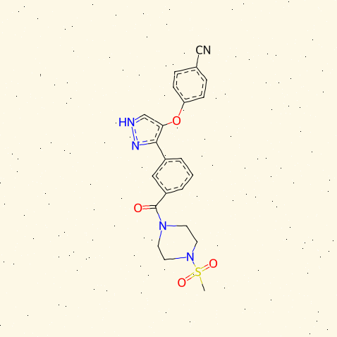 CS(=O)(=O)N1CCN(C(=O)c2cccc(-c3n[nH]cc3Oc3ccc(C#N)cc3)c2)CC1